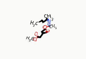 CCCC(C)/N=C(/C)Oc1cc(CC(=O)OC)co1